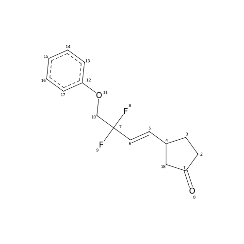 O=C1CCC(/C=C/C(F)(F)COc2ccccc2)C1